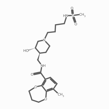 Cc1ccc(C(=O)NC[C@@H]2CCN(CCCCNS(C)(=O)=O)C[C@H]2O)c2c1OCCCO2